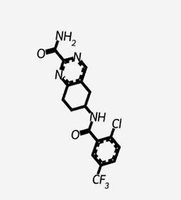 NC(=O)c1ncc2c(n1)CCC(NC(=O)c1cc(C(F)(F)F)ccc1Cl)C2